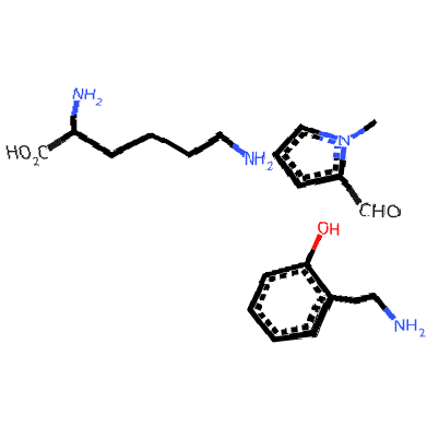 Cn1cccc1C=O.NCCCCC(N)C(=O)O.NCc1ccccc1O